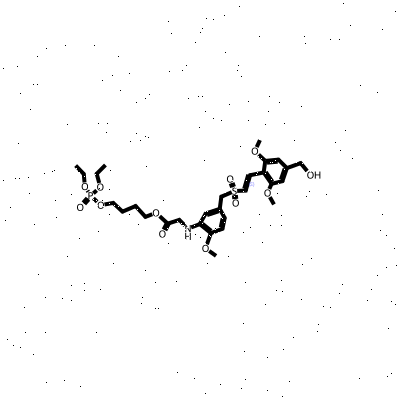 CCOP(=O)(OCC)OCCCCOC(=O)CNc1cc(CS(=O)(=O)/C=C/c2c(OC)cc(CO)cc2OC)ccc1OC